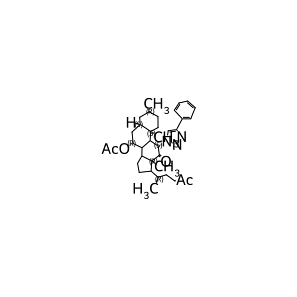 CC(=O)CC[C@@H](C)C1CCC2C3C([C@H](n4cc(-c5ccccc5)nn4)C(=O)[C@@]21C)[C@@]1(C)CC[C@@H](C)C[C@H]1C[C@H]3OC(C)=O